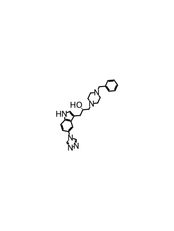 O[C@@H](Cc1c[nH]c2ccc(-n3cnnc3)cc12)CN1CCN(Cc2ccccc2)CC1